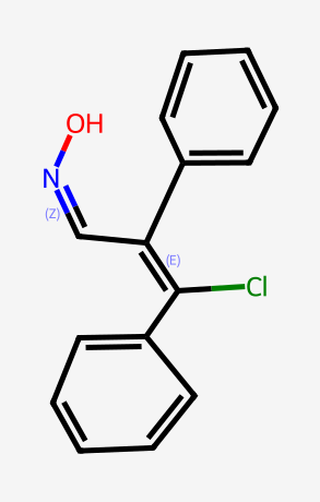 O/N=C\C(=C(\Cl)c1ccccc1)c1ccccc1